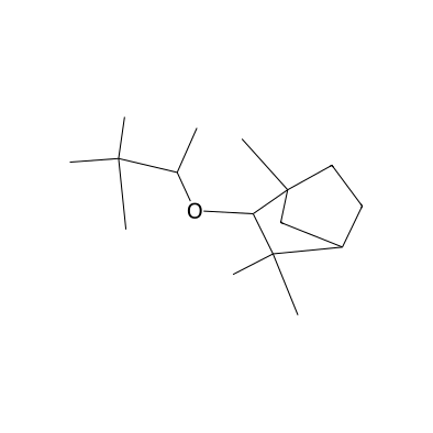 CC(OC1C2(C)CCC(C2)C1(C)C)C(C)(C)C